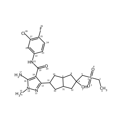 CCS(=O)(=O)CC1(O)CC2CC(c3nn(C)c(N)c3C(=O)Nc3ccc(F)c(Cl)c3)CC2C1